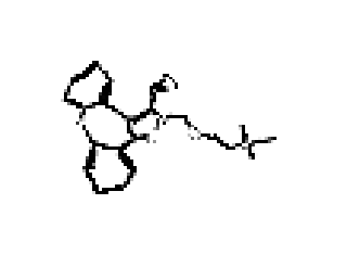 C[Si](C)(C)CCOCn1nc2c(c1C=O)-c1ccccc1Sc1ccccc1-2